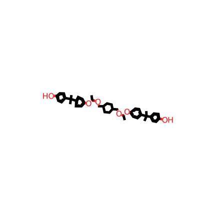 CC(OCC1CCC(COC(C)Oc2ccc(C(C)(C)c3ccc(O)cc3)cc2)CC1)Oc1ccc(C(C)(C)c2ccc(O)cc2)cc1